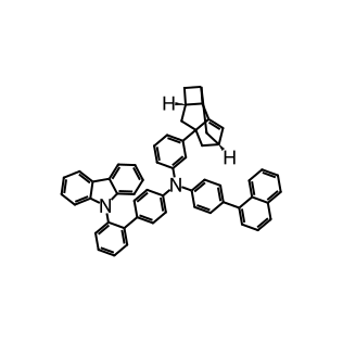 C1=C2C3C4C[C@H]1CC2(c1cccc(N(c2ccc(-c5ccccc5-n5c6ccccc6c6ccccc65)cc2)c2ccc(-c5cccc6ccccc56)cc2)c1)C[C@@H]3C4